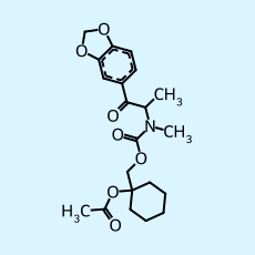 CC(=O)OC1(COC(=O)N(C)C(C)C(=O)c2ccc3c(c2)OCO3)CCCCC1